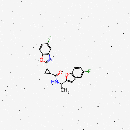 C[C@@H](NC(=O)[C@H]1C[C@@H]1c1nc2cc(Cl)ccc2o1)c1cc2cc(F)ccc2o1